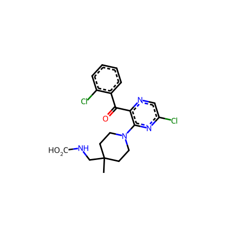 CC1(CNC(=O)O)CCN(c2nc(Cl)cnc2C(=O)c2ccccc2Cl)CC1